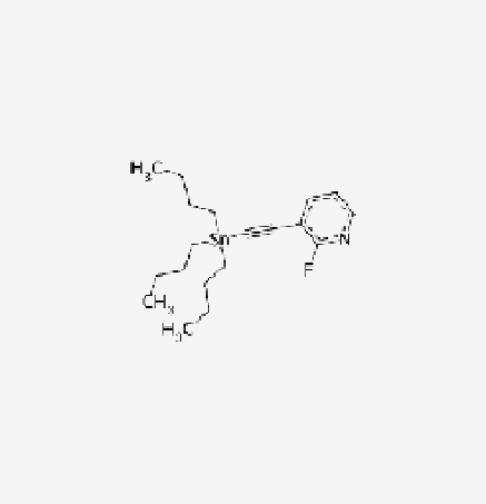 CCC[CH2][Sn]([C]#Cc1cccnc1F)([CH2]CCC)[CH2]CCC